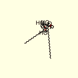 CCCCCCCCCCCCCCCCCCCC(=CC(=C(CCCCCCCCCCCCCCCCCC)C(=O)O)C(=C(C=CC(=O)O)C(=O)O)C1CC2CCC1(C)C2(C)C)C(=O)O